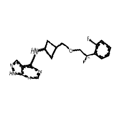 Fc1ccccc1[C@@H](F)COCC1CC(Nc2ncnc3[nH]ncc23)C1